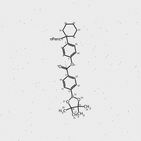 CCCCCC1(c2ccc(OC(=O)c3ccc(B4OC(C)(C)C(C)(C)O4)cc3)cc2)CCCCC1